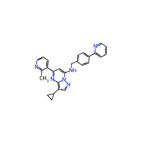 Cc1ncccc1-c1cc(NCc2ccc(-c3ccccn3)cc2)n2ncc(C3CC3)c2n1